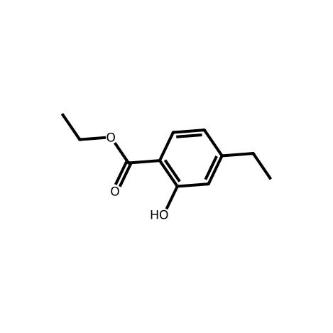 CCOC(=O)c1ccc(CC)cc1O